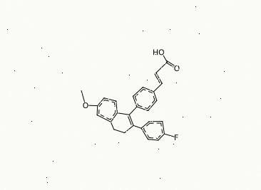 COc1ccc2c(c1)CCC(c1ccc(F)cc1)=C2c1ccc(/C=C/C(=O)O)cc1